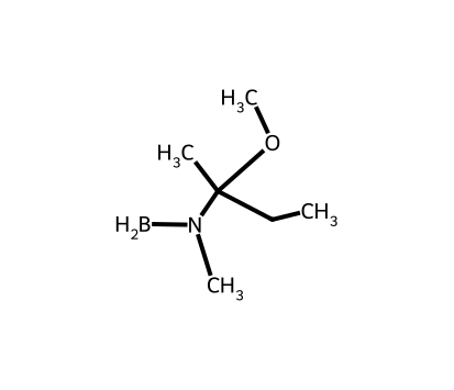 BN(C)C(C)(CC)OC